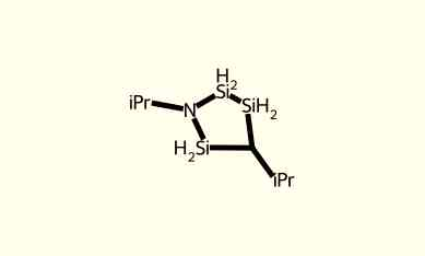 CC(C)C1[SiH2][SiH2]N(C(C)C)[SiH2]1